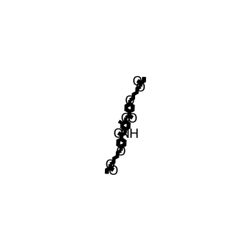 C=CC(=O)OCCCCOc1ccc(C(=O)Nc2ccc(OC(=O)c3ccc(OCCCCOC(=O)C=C)cc3)c(C)c2)cc1